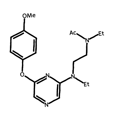 CCN(CCN(CC)c1cncc(Oc2ccc(OC)cc2)n1)C(C)=O